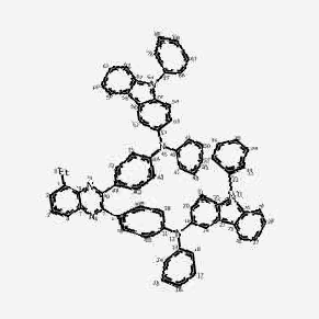 CCc1cccc2nc(-c3ccc(N(c4ccccc4)c4ccc5c(c4)c4ccccc4n5-c4ccccc4)cc3)c(-c3ccc(N(c4ccccc4)c4ccc5c(c4)c4ccccc4n5-c4ccccc4)cc3)nc12